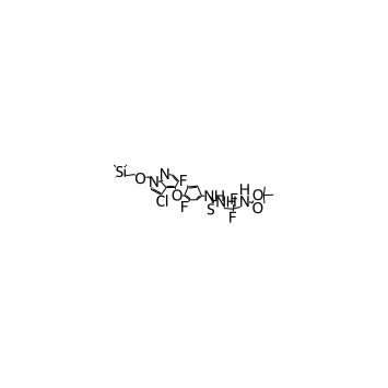 CC(C)(C)OC(=O)NCC(F)(F)CNC(=S)Nc1cc(F)c(Oc2ccnc3c2c(Cl)cn3COCC[Si](C)(C)C)c(F)c1